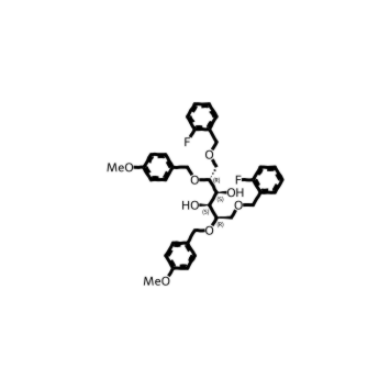 COc1ccc(CO[C@H](COCc2ccccc2F)[C@@H](O)[C@H](O)[C@@H](COCc2ccccc2F)OCc2ccc(OC)cc2)cc1